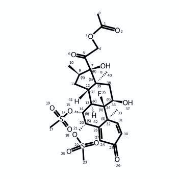 CC(=O)OCC(=O)[C@@]1(O)[C@H](C)C[C@H]2[C@@H]3[C@@H](OS(C)(=O)=O)[C@@H](OS(C)(=O)=O)C4=CC(=O)C=C[C@]4(C)[C@@]3(F)[C@H](O)C[C@@]21C